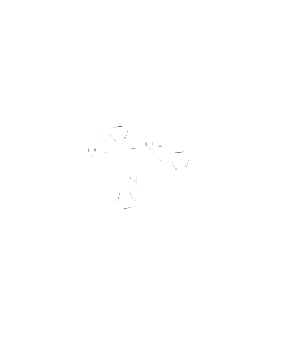 CCc1ccc(N(CCOC(=O)c2c(Cl)ccc(Cl)c2OC)CCOC(=O)c2c(Cl)ccc(Cl)c2OC)cc1CC